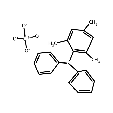 Cc1cc(C)c([S+](c2ccccc2)c2ccccc2)c(C)c1.[O-][Cl+3]([O-])([O-])[O-]